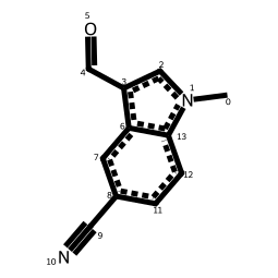 Cn1cc(C=O)c2cc(C#N)ccc21